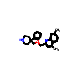 Cc1ccc2c(C)cc(COCC3(c4ccccc4)CCNCC3)nc2c1